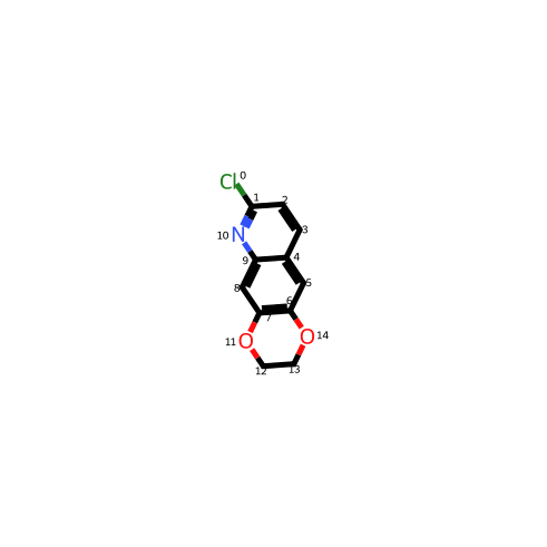 Clc1ccc2cc3c(cc2n1)OCCO3